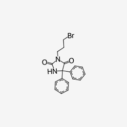 O=C1NC(c2ccccc2)(c2ccccc2)C(=O)N1CCCBr